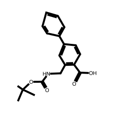 CC(C)(C)OC(=O)NCc1cc(-c2ccccc2)ccc1C(=O)O